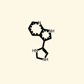 C1=C(c2c[nH]c3ncccc23)NCN1